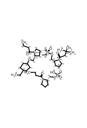 CCCC(=O)N1CCC[C@H]1COP(=O)(O)O[C@@H]1C[C@@H](COP(=O)(O)O[C@@H]2C[C@@H](COC3CCC(CC)CC3)N(C(=O)CCC)C2)N(C(=O)CC(C)(C)C)C1